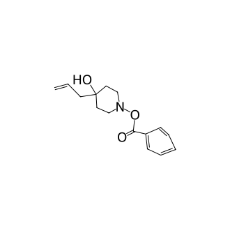 C=CCC1(O)CCN(OC(=O)c2ccccc2)CC1